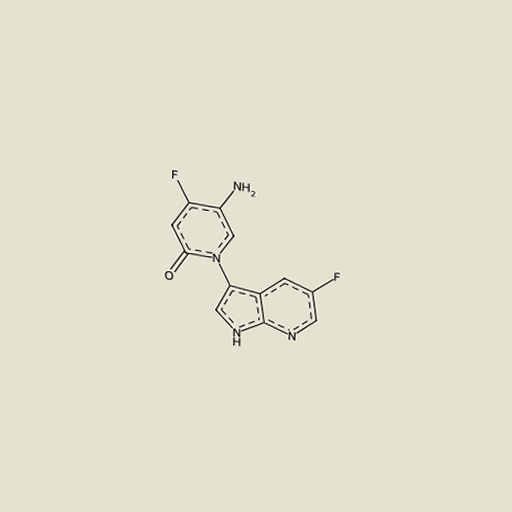 Nc1cn(-c2c[nH]c3ncc(F)cc23)c(=O)cc1F